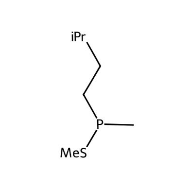 CSP(C)CCC(C)C